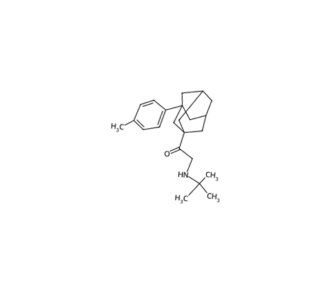 Cc1ccc(C23CC4CC(CC(C(=O)CNC(C)(C)C)(C4)C2)C3)cc1